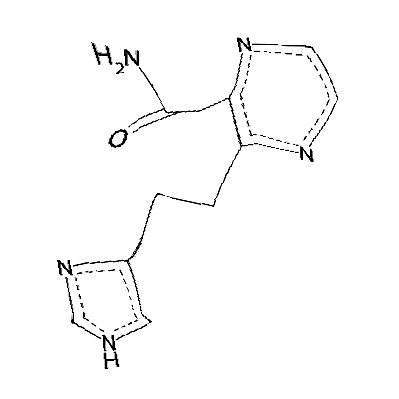 NC(=O)c1nccnc1CCc1c[nH]cn1